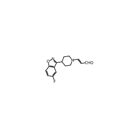 O=CC=CN1CCC(c2noc3ccc(F)cc23)CC1